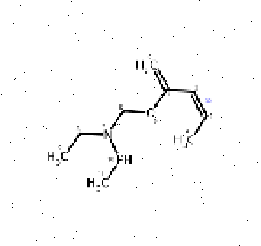 C=C(/C=C\C)OCN(CC)PC